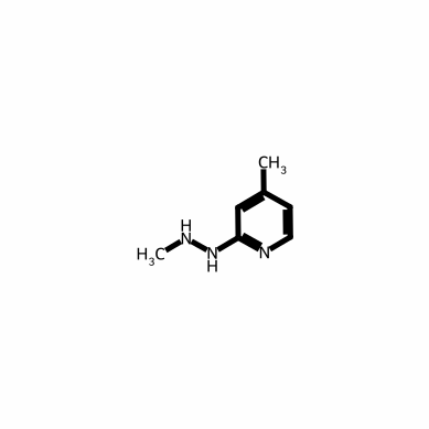 CNNc1cc(C)ccn1